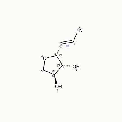 N#C/C=C/[C@H]1OC[C@H](O)[C@H]1O